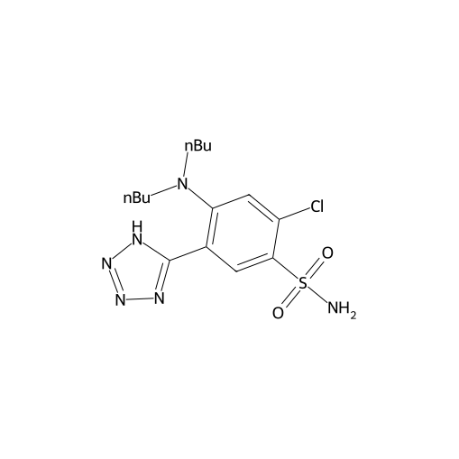 CCCCN(CCCC)c1cc(Cl)c(S(N)(=O)=O)cc1-c1nnn[nH]1